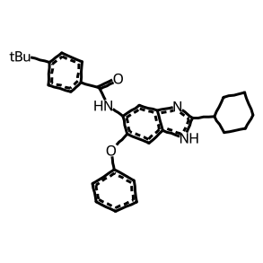 CC(C)(C)c1ccc(C(=O)Nc2cc3nc(C4CCCCC4)[nH]c3cc2Oc2ccccc2)cc1